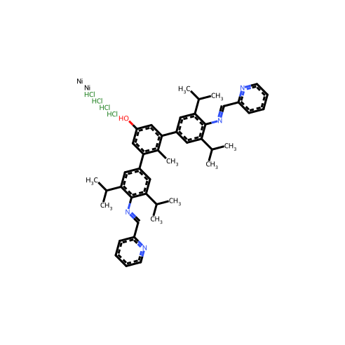 Cc1c(-c2cc(C(C)C)c(N=Cc3ccccn3)c(C(C)C)c2)cc(O)cc1-c1cc(C(C)C)c(N=Cc2ccccn2)c(C(C)C)c1.Cl.Cl.Cl.Cl.[Ni].[Ni]